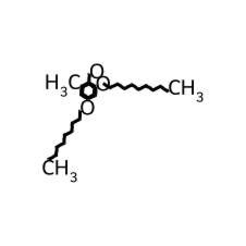 CCCCCCCCCCOc1cc(C)c(C=O)c(OCCCCCCCCCC)c1